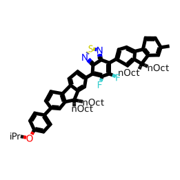 CCCCCCCCC1(CCCCCCCC)c2cc(C)ccc2-c2ccc(-c3c(F)c(F)c(-c4ccc5c(c4)C(CCCCCCCC)(CCCCCCCC)c4cc(-c6ccc(OC(C)C)cc6)ccc4-5)c4nsnc34)cc21